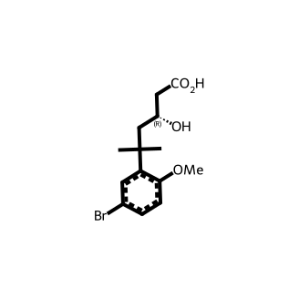 COc1ccc(Br)cc1C(C)(C)C[C@@H](O)CC(=O)O